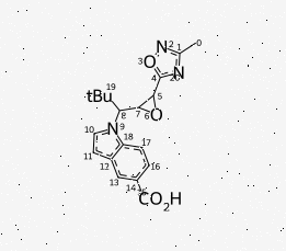 Cc1noc(C2OC2C(n2ccc3cc(C(=O)O)ccc32)C(C)(C)C)n1